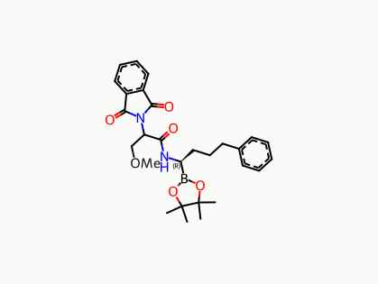 COCC(C(=O)N[C@@H](CCCc1ccccc1)B1OC(C)(C)C(C)(C)O1)N1C(=O)c2ccccc2C1=O